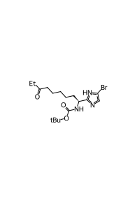 CCC(=O)CCCCC[C@H](NC(=O)OC(C)(C)C)c1ncc(Br)[nH]1